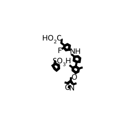 Cc1cc(OCc2c(C)noc2C)cc(C)c1-c1cccc(CNc2ccc(CCC(=O)O)c(F)c2)c1.O=S(=O)(O)c1ccccc1